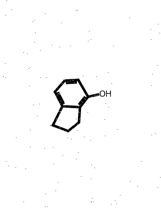 Oc1cccc2c1CC[CH]2